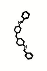 C(=NC1CCC(CC2CCC(N=Cc3ccccc3)CC2)CC1)c1ccccc1